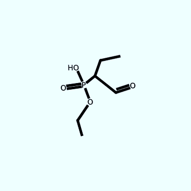 CCOP(=O)(O)C(C=O)CC